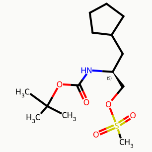 CC(C)(C)OC(=O)N[C@H](COS(C)(=O)=O)CC1CCCC1